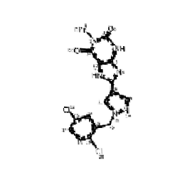 CCCn1c(=O)[nH]c2nc(-c3cnn(Cc4cc(Cl)ccc4Cl)c3)[nH]c2c1=O